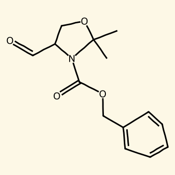 CC1(C)OCC(C=O)N1C(=O)OCc1ccccc1